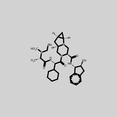 C[C@@H](C(=O)N[C@H](C(=O)N1C[C@H]2C[C@H]3C[C@H]3N2C[C@H]1C(=O)N[C@H]1c2ccccc2C[C@@H]1O)C1CCCCC1)N(CC(C)(C)C)C(=O)O